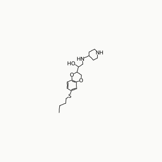 CCCCSc1ccc2c(c1)OCC(C(O)CNC1CCNCC1)O2